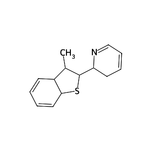 CC1C2C=CC=CC2SC1C1CC=CC=N1